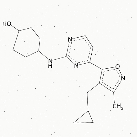 Cc1noc(-c2ccnc(NC3CCC(O)CC3)n2)c1CC1CC1